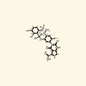 [2H]C([2H])(Oc1cc(-n2c(=O)[nH]c3csc(C(=O)O)c3c2=O)c(F)cc1OC)c1c(OC)ccc(F)c1F